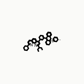 CCC(CC)c1cc(C2=CC(C3=C4C=CCC[C@@H]4[C@@H](C4=CC[C@@H](C)C=C4)c4ccccc43)=CCC2)c2ccc3ccc(C4CCCCC4)nc3c2n1